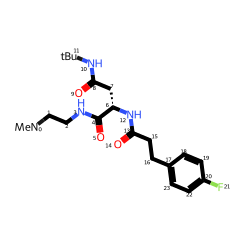 CNCCNC(=O)[C@H](CC(=O)NC(C)(C)C)NC(=O)CCc1ccc(F)cc1